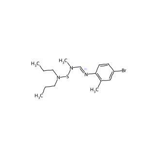 CCCN(CCC)SN(C)/C=N/c1ccc(Br)cc1C